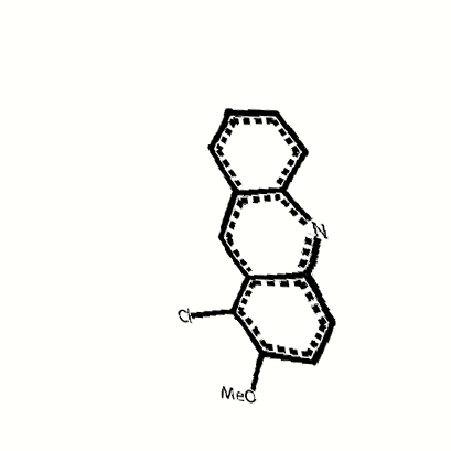 COc1ccc2nc3ccccc3cc2c1Cl